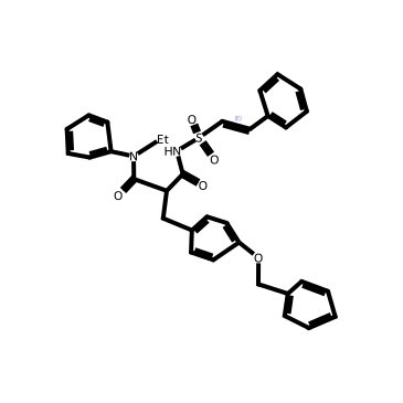 CCN(C(=O)C(Cc1ccc(OCc2ccccc2)cc1)C(=O)NS(=O)(=O)/C=C/c1ccccc1)c1ccccc1